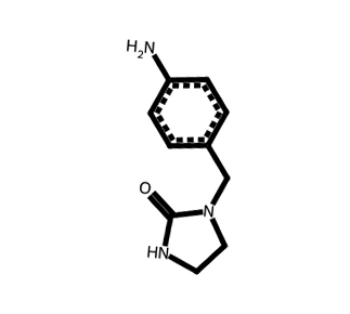 Nc1ccc(CN2CCNC2=O)cc1